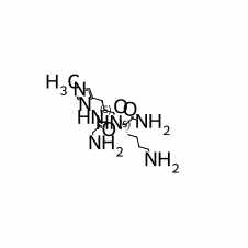 Cn1cnc(C[C@H](NC(=O)CN)C(=O)N[C@@H](CCCCN)C(N)=O)c1